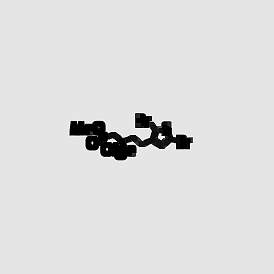 COP(=O)(CC(=O)CCc1cc(Br)sc1Br)OC